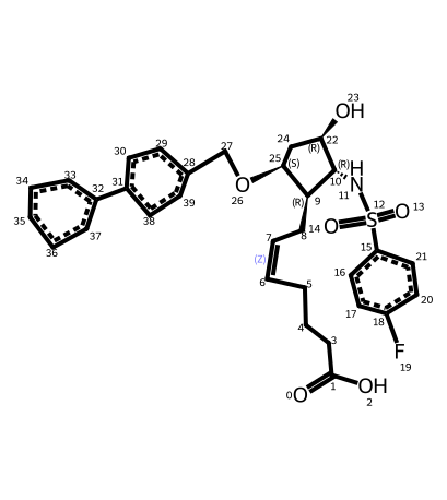 O=C(O)CCC/C=C\C[C@@H]1[C@@H](NS(=O)(=O)c2ccc(F)cc2)[C@H](O)C[C@@H]1OCc1ccc(-c2ccccc2)cc1